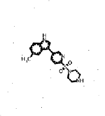 Cc1ccc2[nH]cc(-c3ccc(S(=O)(=O)N4CCNCC4)nc3)c2c1